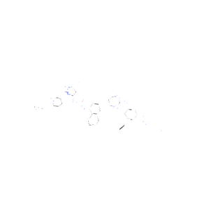 C#Cc1cc(Nc2nccc(Oc3ccc(NC(=O)Nc4cc(C(C)(C)C)nn4-c4ccc(OC)nc4)c4ccccc34)n2)cc(C(=O)NCCN2CCOCC2)c1